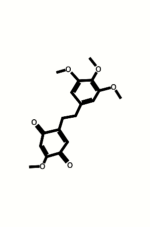 COC1=CC(=O)C(CCc2cc(OC)c(OC)c(OC)c2)=CC1=O